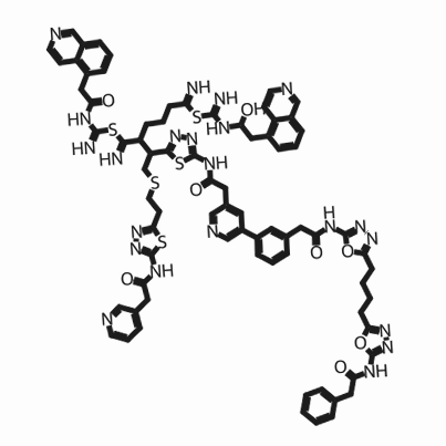 N=C(CCCC(C(=N)SC(=N)NC(=O)Cc1cccc2cnccc12)C(CSCCc1nnc(NC(=O)Cc2cccnc2)s1)c1nnc(NC(=O)Cc2cncc(-c3cccc(CC(=O)Nc4nnc(CCCCc5nnc(NC(=O)Cc6ccccc6)o5)o4)c3)c2)s1)SC(=N)NC(O)Cc1cccc2cnccc12